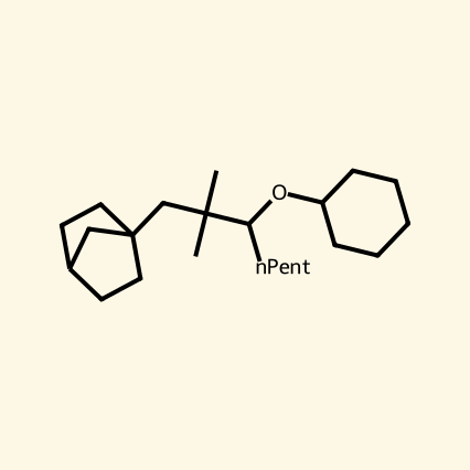 CCCCCC(OC1CCCCC1)C(C)(C)CC12CCC(CC1)C2